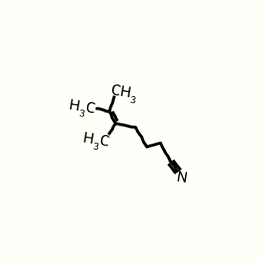 CC(C)=C(C)CCCC#N